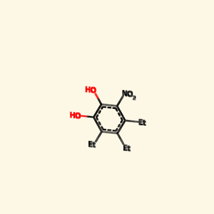 CCc1c(O)c(O)c([N+](=O)[O-])c(CC)c1CC